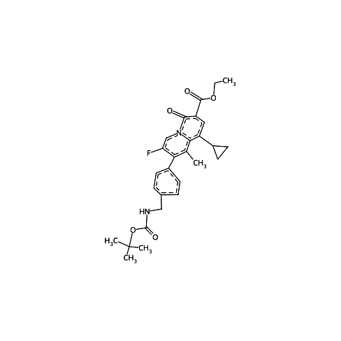 CCOC(=O)c1cc(C2CC2)c2c(C)c(-c3ccc(CNC(=O)OC(C)(C)C)cc3)c(F)cn2c1=O